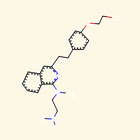 CCN(CC)CCN(C)c1nc(CCc2ccc(OCCO)cc2)cc2ccccc12